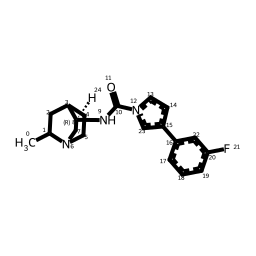 CC1CC2CCN1C[C@@H]2NC(=O)n1ccc(-c2cccc(F)c2)c1